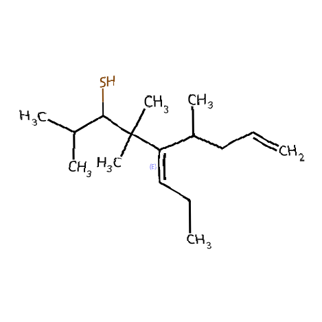 C=CCC(C)/C(=C\CC)C(C)(C)C(S)C(C)C